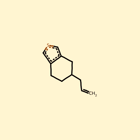 C=CCC1CCc2cscc2C1